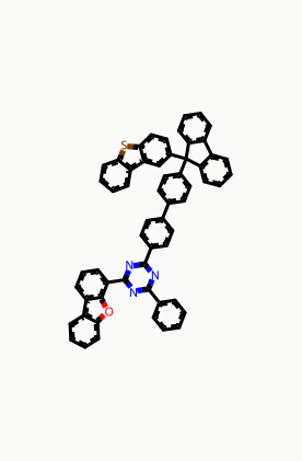 c1ccc(-c2nc(-c3ccc(-c4ccc(C5(c6ccc7sc8ccccc8c7c6)c6ccccc6-c6ccccc65)cc4)cc3)nc(-c3cccc4c3oc3ccccc34)n2)cc1